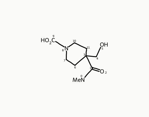 CNC(=O)C1(CO)CCN(C(=O)O)CC1